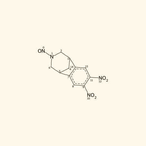 O=NN1CC2CC(C1)c1cc([N+](=O)[O-])c([N+](=O)[O-])cc12